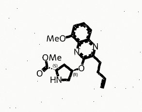 C=CCCc1nc2cccc(OC)c2nc1O[C@H]1CN[C@H](C(=O)OC)C1